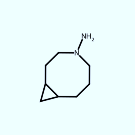 NN1CCCC2CC2CC1